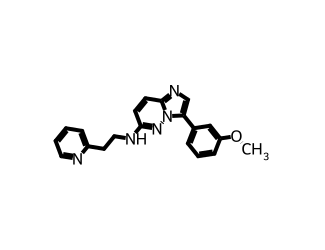 COc1cccc(-c2cnc3ccc(NCCc4ccccn4)nn23)c1